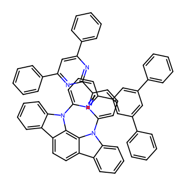 c1ccc(-c2cc(-c3ccccc3)cc(-c3cccc(-n4c5ccccc5c5ccc6c7ccccc7n(-c7cccc(-c8nc(-c9ccccc9)cc(-c9ccccc9)n8)n7)c6c54)n3)c2)cc1